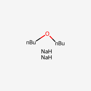 CCCCOCCCC.[NaH].[NaH]